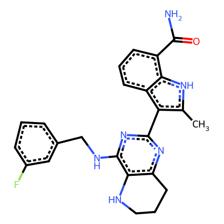 Cc1[nH]c2c(C(N)=O)cccc2c1-c1nc2c(c(NCc3cccc(F)c3)n1)NCCC2